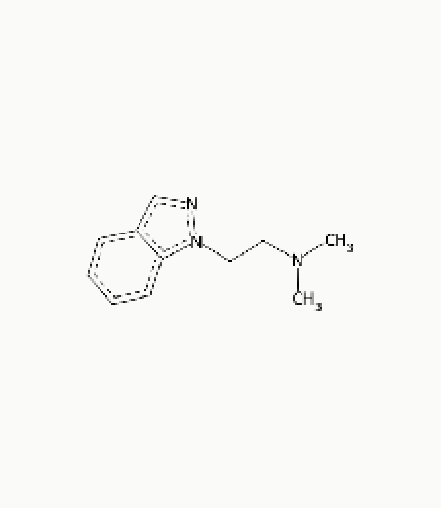 CN(C)CCn1ncc2ccccc21